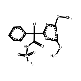 COc1cc(OC)nc(C(Cl)(C(=O)NS(C)(=O)=O)c2ccccc2)n1